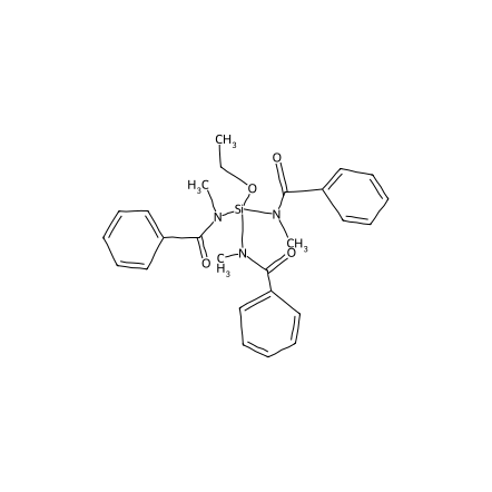 CCO[Si](N(C)C(=O)c1ccccc1)(N(C)C(=O)c1ccccc1)N(C)C(=O)c1ccccc1